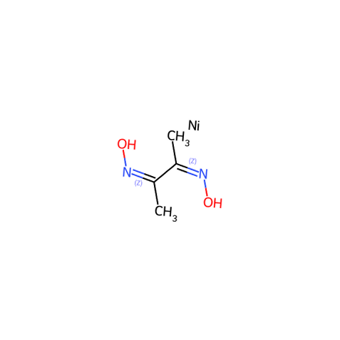 CC(=N/O)/C(C)=N\O.[Ni]